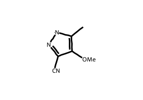 COC1=C(C)[N]N=C1C#N